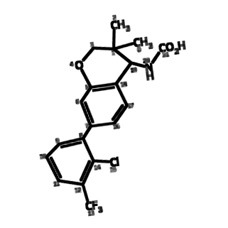 CC1(C)COc2cc(-c3cccc(C(F)(F)F)c3Cl)ccc2C1NC(=O)O